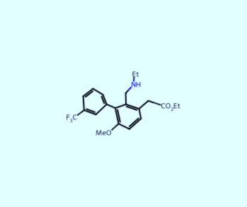 CCNCc1c(CC(=O)OCC)ccc(OC)c1-c1cccc(C(F)(F)F)c1